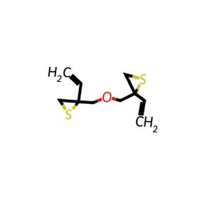 C=CC1(COCC2(C=C)CS2)CS1